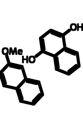 COc1ccc2ccccc2c1.Oc1ccc(O)c2ccccc12